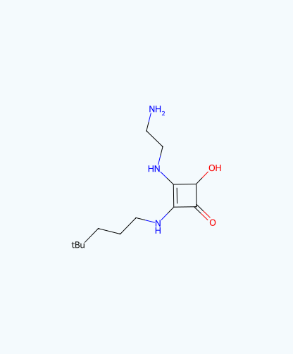 CC(C)(C)CCCNC1=C(NCCN)C(O)C1=O